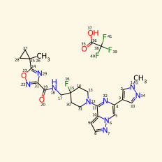 Cn1cc(-c2cn3nccc3c(N3CCC(F)(CNC(=O)c4noc(C5(C)CC5)n4)CC3)n2)cn1.O=C(O)C(F)(F)F